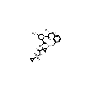 CC[C@@H]1C[C@]1(NC(=O)C1C[C@@H](C)CN1C(=O)[C@@H](Nc1cccc(C#N)c1)C(C)C)C(=O)NS(=O)(=O)C1CC1